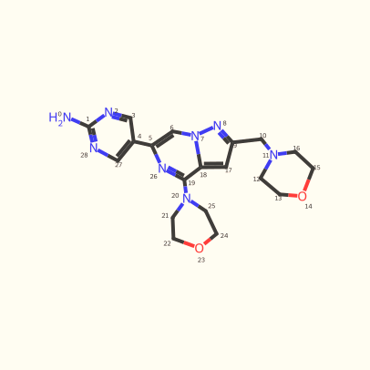 Nc1ncc(-c2cn3nc(CN4CCOCC4)cc3c(N3CCOCC3)n2)cn1